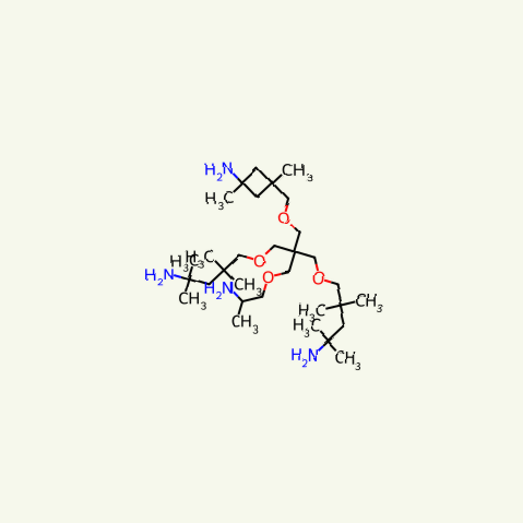 CC(N)COCC(COCC(C)(C)CC(C)(C)N)(COCC(C)(C)CC(C)(C)N)COCC1(C)CC(C)(N)C1